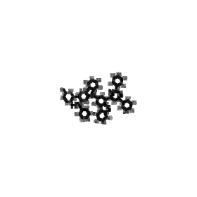 CC1C=CC=C(c2cc3c4ccccc4n(-c4cc(-c5cc(-c6ccccc6)nc(-c6ccccc6)n5)c5sc6ccccc6c5c4)c3cc2Nc2ccccc2)C1